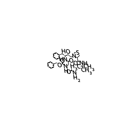 CC(C)(C)NC(=O)[C@@H]1CSCN1C[C@@H](O)[C@H](Cc1ccccc1)NC(=O)[C@H](CC(N)=O)NC(=O)OCc1ccccc1